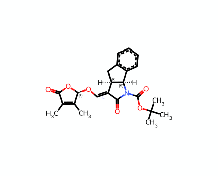 CC1=C(C)[C@H](O/C=C2/C(=O)N(C(=O)OC(C)(C)C)[C@@H]3c4ccccc4C[C@H]23)OC1=O